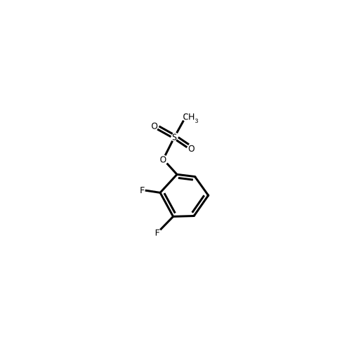 CS(=O)(=O)Oc1cccc(F)c1F